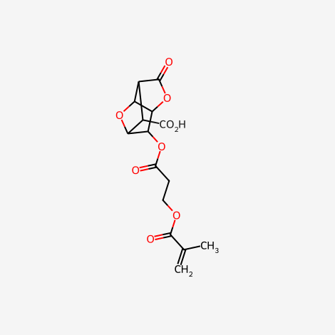 C=C(C)C(=O)OCCC(=O)OC1C2OC(=O)C3C2OC1C3C(=O)O